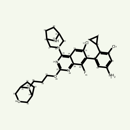 Nc1cc(Cl)c(C2CC2)c(-c2c(Cl)cc3c(N4CC5CCC(C4)N5)nc(OCCCN4C5CCC4COC5)nc3c2F)c1